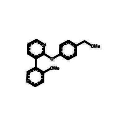 COCc1ccc(Oc2ncccc2-c2cnccc2OC)cc1